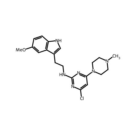 COc1ccc2[nH]cc(CCNc3nc(Cl)cc(N4CCN(C)CC4)n3)c2c1